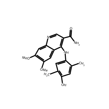 COc1cc2ncc(C(N)=O)c(Nc3cc(C)c(O)cc3C)c2cc1OC